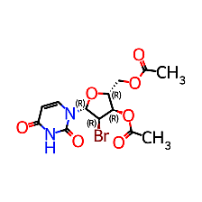 CC(=O)OC[C@H]1O[C@@H](n2ccc(=O)[nH]c2=O)[C@H](Br)[C@@H]1OC(C)=O